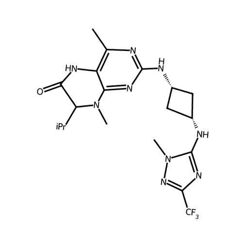 Cc1nc(N[C@H]2C[C@@H](Nc3nc(C(F)(F)F)nn3C)C2)nc2c1NC(=O)C(C(C)C)N2C